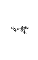 CCOC[C@]1(C)CC(Cc2ccc(-c3cc(Cl)ccc3F)cc2)N(C(=O)OC(C)(C)C)C1=O